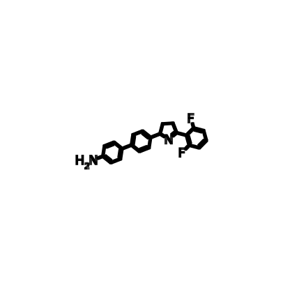 Nc1ccc(-c2ccc(C3CCC(c4c(F)cccc4F)=N3)cc2)cc1